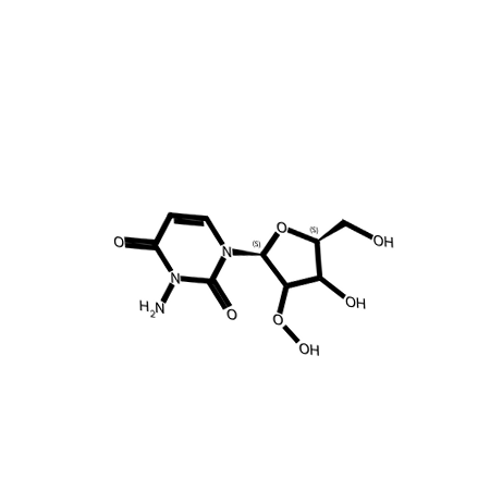 Nn1c(=O)ccn([C@H]2O[C@@H](CO)C(O)C2OO)c1=O